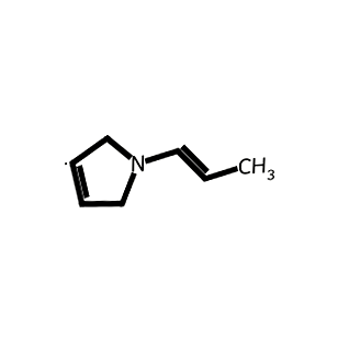 CC=CN1C[C]=CC1